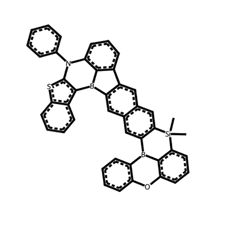 C[Si]1(C)c2cc3cc4c(cc3cc2B2c3ccccc3Oc3cccc1c32)B1c2c-4cccc2N(c2ccccc2)c2sc3ccccc3c21